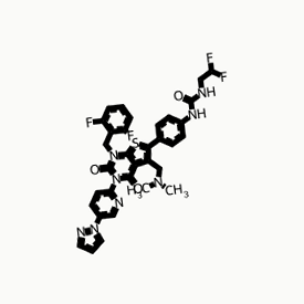 CN(C)Cc1c(-c2ccc(NC(=O)NCC(F)F)cc2)sc2c1c(=O)n(-c1ccc(-n3cccn3)cn1)c(=O)n2Cc1c(F)cccc1F